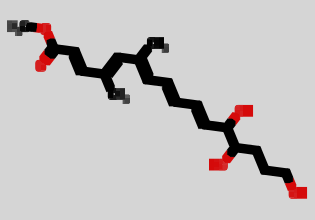 COC(=O)C=CC(C)=CC(C)=CC=CC=CC(O)C(O)CCCO